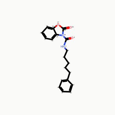 O=C(NCCCCCc1ccccc1)n1c(=O)oc2ccccc21